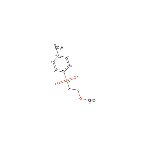 O=[C]OCCS(=O)(=O)c1ccc(S(=O)(=O)O)cc1